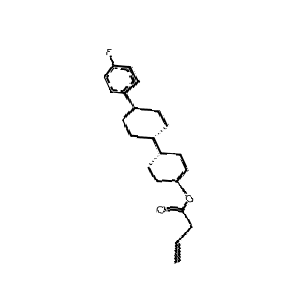 C=CCC(=O)O[C@H]1CC[C@H]([C@H]2CC[C@H](c3ccc(F)cc3)CC2)CC1